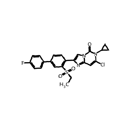 CCS(=O)(=O)c1cc(-c2ccc(F)cc2)ccc1-c1cn2c(=O)n(C3CC3)c(Cl)cc2n1